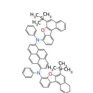 C[Si](C)(C)c1cc2c(c3c1oc1c(N(c4ccccc4)c4ccc5ccc6c(N(c7ccccc7)c7cccc8c7oc7c([Si](C)(C)C)cc9ccccc9c78)ccc7ccc4c5c76)cccc13)C=CCC2